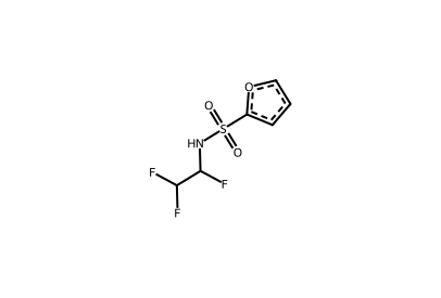 O=S(=O)(NC(F)C(F)F)c1ccco1